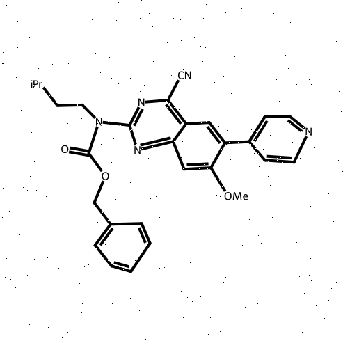 COc1cc2nc(N(CCC(C)C)C(=O)OCc3ccccc3)nc(C#N)c2cc1-c1ccncc1